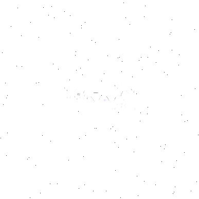 CC1(C)CC(/C=C/c2ccc(NC(=O)[C@@H](N)CC#N)cc2)=CC(=C(C#N)C#N)C1